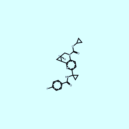 O=C(NC1(c2ccc3c(n2)C2C[C@@H]2CN3C(=O)OC2CC2)CC1)c1ccc(F)cc1